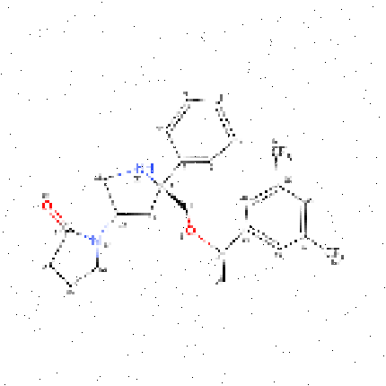 C[C@@H](OC[C@@]1(c2ccccc2)C[C@H](N2CCCC2=O)CN1)c1cc(C(F)(F)F)cc(C(F)(F)F)c1